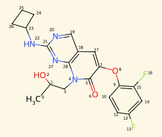 CC(O)Cn1c(=O)c(Oc2ccc(F)cc2F)cc2cnc(NC3CCC3)nc21